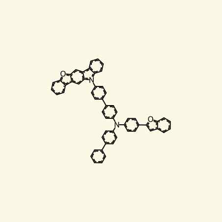 c1ccc(-c2ccc(N(c3ccc(-c4ccc(-n5c6ccccc6c6cc7oc8ccccc8c7cc65)cc4)cc3)c3ccc(-c4cc5ccccc5o4)cc3)cc2)cc1